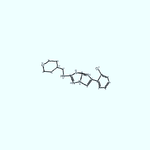 Clc1ccccc1-c1cn2nc(NCC3CCOCC3)sc2n1